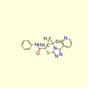 CC(C)(C)n1c(SCC(=O)Nc2ccccc2)nnc1-c1cccnc1